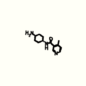 Cc1ccncc1C(=O)N[C@H]1CC[C@H](N)CC1